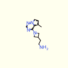 Cc1ccn2ncnc(N3CC(CCN)C3)c12